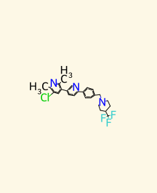 Cc1nc(C)c(-c2ccc(-c3ccc(CN4CCC(C(F)(F)F)CC4)cc3)nc2)cc1Cl